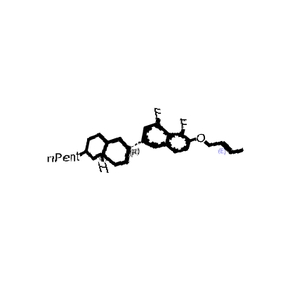 C/C=C/COc1ccc2cc([C@@H]3CC[C@@H]4CC(CCCCC)CCC4C3)cc(F)c2c1F